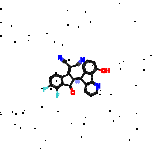 N#CC(C#N)=C1/C(=C2/c3cccnc3-c3c(O)cccc32)C(=O)c2c1ccc(F)c2F